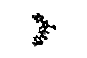 Cc1nsc(-c2nc(C3CC3)c3n2CCN(C(=O)c2ccc(F)cc2)[C@@H]3C)n1